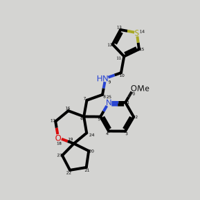 COc1cccc(C2(CCNCc3ccsc3)CCOC3(CCCC3)C2)n1